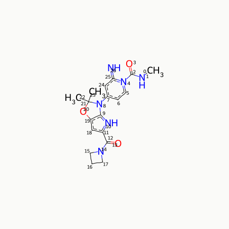 CNC(=O)n1ccc(N2c3[nH]c(C(=O)N4CCC4)cc3OC2(C)C)cc1=N